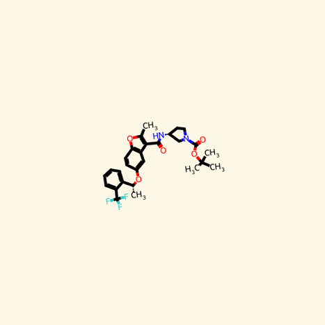 Cc1oc2ccc(O[C@H](C)c3ccccc3C(F)(F)F)cc2c1C(=O)N[C@@H]1CCN(C(=O)OC(C)(C)C)C1